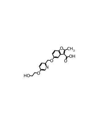 Cc1oc2ccc(OCc3ccc(OCCO)cn3)cc2c1C(=O)O